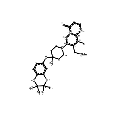 [2H]C1(Oc2ccc3c(c2)OC([2H])([2H])C([2H])([2H])O3)CCN(c2nn3c(=O)ccnc3c(C)c2COC)CC1